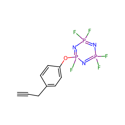 C#CCc1ccc(OP2(F)=NP(F)(F)=NP(F)(F)=N2)cc1